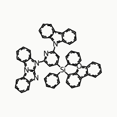 c1ccc([Si](c2ccccc2)(c2cc(-n3c4ccccc4c4ccccc43)nc(-n3c4ccccc4n4c5ccccc5nc34)c2)c2cccc3c2oc2ccccc23)cc1